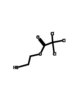 O=C(OCCS)C(Cl)(Cl)Cl